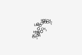 CSCCC(NC(=O)c1ccc(COC2(c3ccccc3)CCN(C(=O)OC(C)(C)C)CC2)cc1-c1ccccc1C)C(=O)O.[LiH]